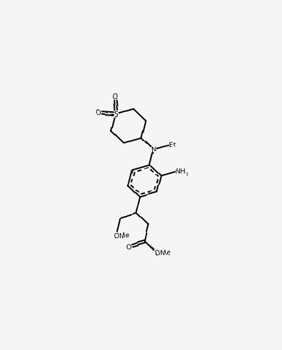 CCN(c1ccc(C(COC)CC(=O)OC)cc1N)C1CCS(=O)(=O)CC1